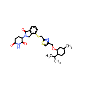 CC1CCC(C(C)C)C(OCc2csc(CSc3cccc4c3CN(C3CCC(=O)NC3=O)C4=O)n2)C1